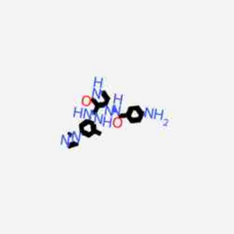 Cc1cc(-n2ccnc2)cc2[nH]c(-c3c(NNC(=O)c4ccc(N)cc4)cc[nH]c3=O)nc12